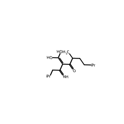 CC(C)CCC(C)C(=O)C(C(=N)CC(C)C)=C(O)O